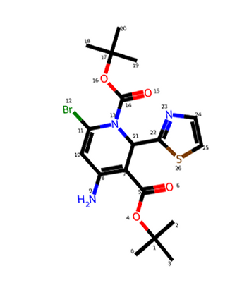 CC(C)(C)OC(=O)C1=C(N)C=C(Br)N(C(=O)OC(C)(C)C)C1c1nccs1